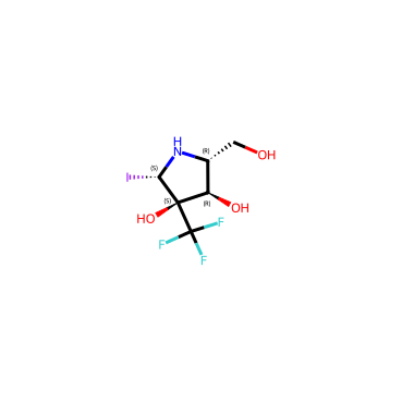 OC[C@H]1N[C@@H](I)[C@@](O)(C(F)(F)F)[C@@H]1O